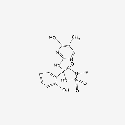 Cc1cnc(NC2(c3ccccc3O)NS(=O)(=O)N(F)C2=O)nc1O